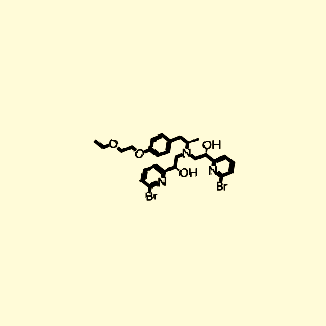 CCOCCOc1ccc(C[C@@H](C)N(C[C@H](O)c2cccc(Br)n2)C[C@H](O)c2cccc(Br)n2)cc1